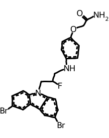 NC(=O)COc1ccc(NCC(F)Cn2c3ccc(Br)cc3c3cc(Br)ccc32)cc1